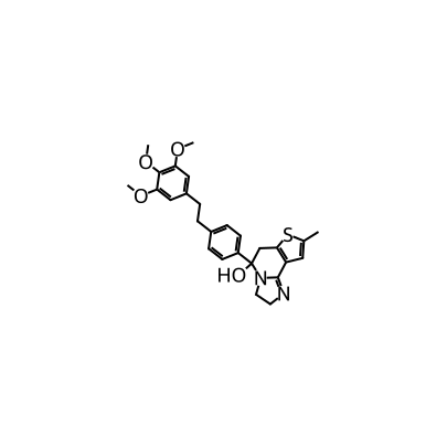 COc1cc(CCc2ccc(C3(O)Cc4sc(C)cc4C4=NCCN43)cc2)cc(OC)c1OC